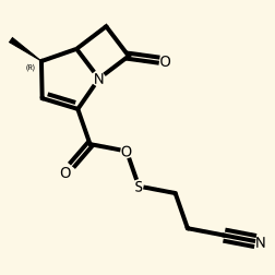 C[C@@H]1C=C(C(=O)OSCCC#N)N2C(=O)CC12